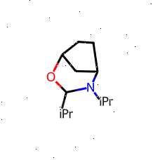 CC(C)C1OC2CCC(C2)N1C(C)C